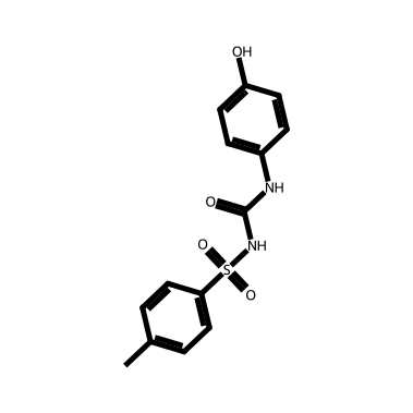 Cc1ccc(S(=O)(=O)NC(=O)Nc2ccc(O)cc2)cc1